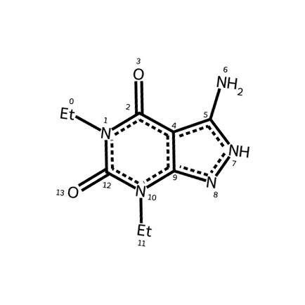 CCn1c(=O)c2c(N)[nH]nc2n(CC)c1=O